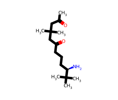 CC(=O)CC(C)(C)CC(=O)CCC[C@@H](N)C(C)(C)C